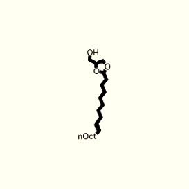 CCCCCCCCC=CCCCCCCCC1OCC(CO)O1